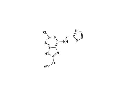 CCCOc1nc2c(NCc3nccs3)nc(Cl)nc2[nH]1